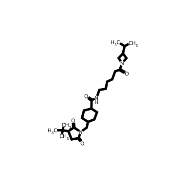 CC(C)C1CN(C(=O)CCCCCNC(=O)C2CCC(CN3C(=O)CC(C(C)(C)C)C3=O)CC2)C1